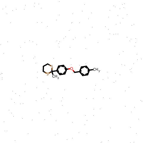 Cc1ccc(COc2ccc(C3(C)SCCCS3)cc2)cc1